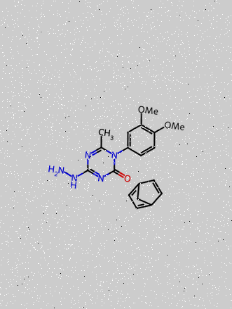 C1=CC2=CC=C1C2.COc1ccc(-n2c(C)nc(NN)nc2=O)cc1OC